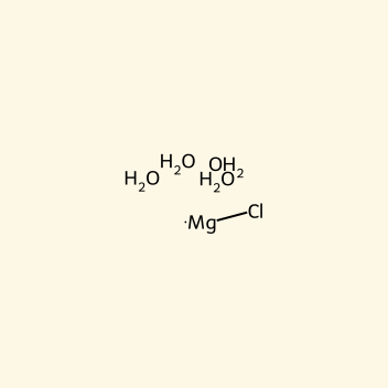 O.O.O.O.[Mg][Cl]